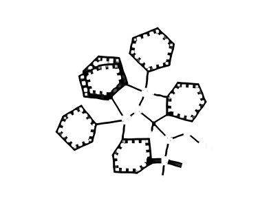 CCC(C)(N([PH](c1ccccc1)(c1ccccc1)c1ccccc1)[PH](c1ccccc1)(c1ccccc1)c1ccccc1)N(SC(F)(F)F)S(=O)(=O)C(F)(F)F